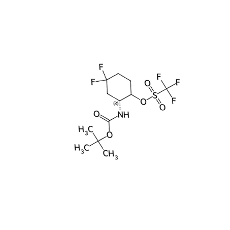 CC(C)(C)OC(=O)N[C@@H]1CC(F)(F)CCC1OS(=O)(=O)C(F)(F)F